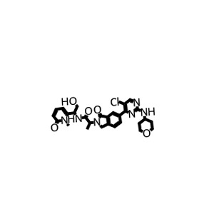 CC(C(=O)NC(CO)c1cccc(=O)n1C)N1Cc2ccc(-c3nc(NC4CCOCC4)ncc3Cl)cc2C1=O